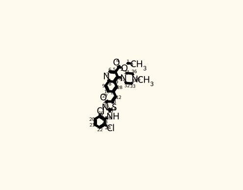 CCOC(=O)c1cnc2ccc(C=C3SC(Nc4c(Cl)cccc4Cl)=NC3=O)cc2c1N1CCN(C)CC1